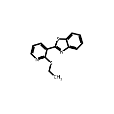 CCSc1ncccc1-c1nc2ccccc2s1